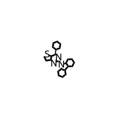 c1ccc(-c2nc(-n3c4ccccc4c4ccccc43)nc3ccsc23)cc1